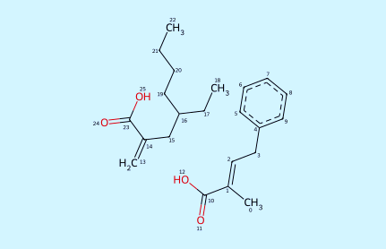 C/C(=C\Cc1ccccc1)C(=O)O.C=C(CC(CC)CCCC)C(=O)O